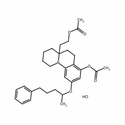 CC(=O)OCCC12CCCCN1c1cc(OC(C)CCCc3ccccc3)cc(OC(C)=O)c1CC2.Cl